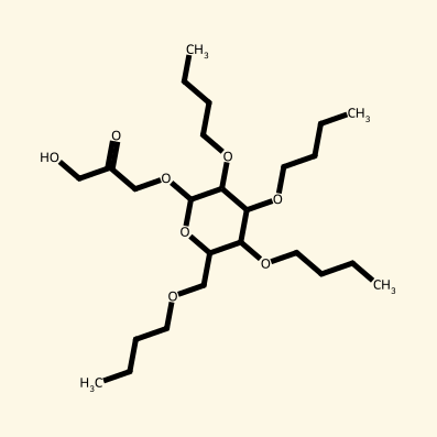 CCCCOCC1OC(OCC(=O)CO)C(OCCCC)C(OCCCC)C1OCCCC